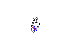 c1ccc(-c2cccc(-c3nc(-c4cccc(-c5cccc(-c6ccc7c8ccccc8c8ccccc8c7c6)c5)c4)nc4c3oc3ccccc34)c2)cc1